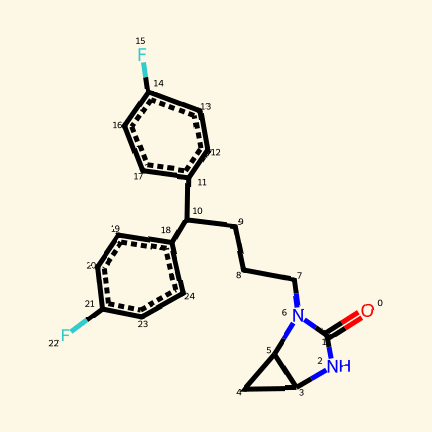 O=C1NC2CC2N1CCCC(c1ccc(F)cc1)c1ccc(F)cc1